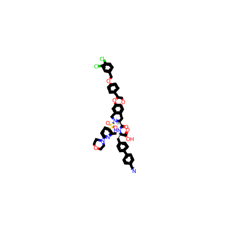 Cc1nc(N2CCOCC2)ccc1S(=O)(=O)N1Cc2cc3c(cc2C[C@H]1C(=O)N[C@@H](Cc1ccc(-c2ccc(C#N)cc2)cc1)C(=O)O)OCC(c1ccc(OCc2ccc(Cl)c(Cl)c2)cc1)O3